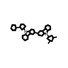 Cc1cc(C)cc(-n2c3ccccc3c3cc(-c4ccc5c(c4)c4ccccc4n5-c4cccc(-c5ccccc5)c4)ccc32)c1